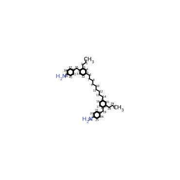 CCCc1cc(CCCCCCCCCc2ccc(Cc3ccc(N)cc3)c(CCC)c2)ccc1Cc1ccc(N)cc1